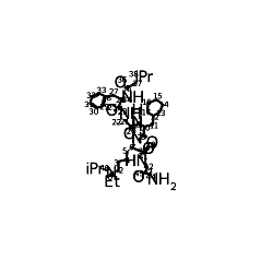 CCN(CCCC[C@H](NC(=O)C(CC1CCCCC1)NC(=O)[C@H](C)NC(=O)C(Cc1ccccc1)NC(=O)CC(C)C)C(=O)NCC(N)=O)C(C)C